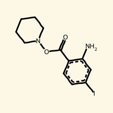 Nc1cc(I)ccc1C(=O)ON1CCCCC1